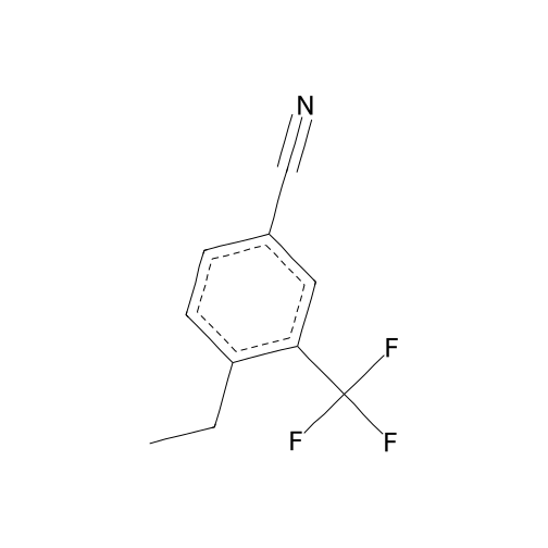 CCc1ccc(C#N)cc1C(F)(F)F